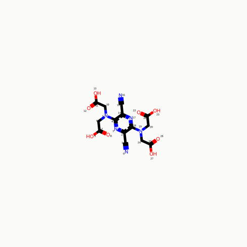 N#Cc1nc(N(CC(=O)O)CC(=O)O)c(C#N)nc1N(CC(=O)O)CC(=O)O